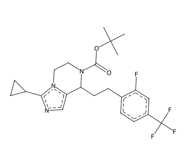 CC(C)(C)OC(=O)N1CCn2c(cnc2C2CC2)C1CCc1ccc(C(F)(F)F)cc1F